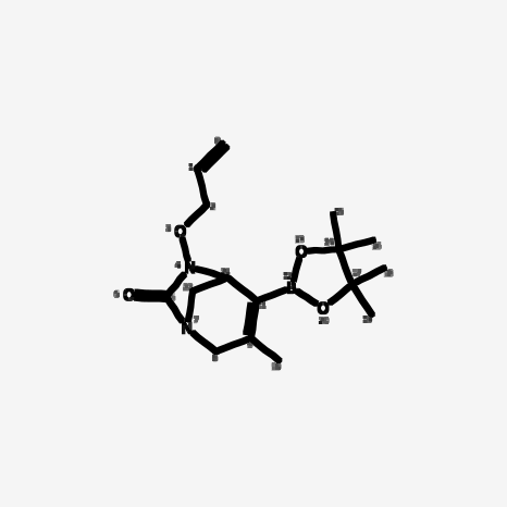 C=CCON1C(=O)N2CC(C)=C(B3OC(C)(C)C(C)(C)O3)C1C2